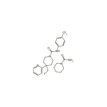 NC(=O)N1CCCCC1.O=C(Nc1ccc(C(F)(F)F)cc1)N1CCC(CF)(c2ccccn2)CC1